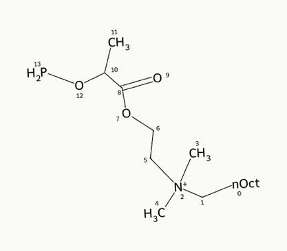 CCCCCCCCC[N+](C)(C)CCOC(=O)C(C)OP